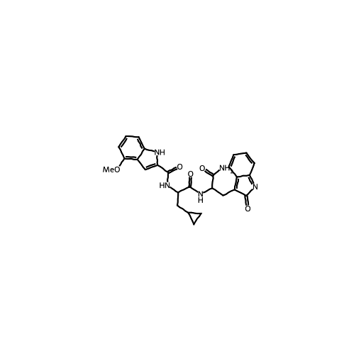 COc1cccc2[nH]c(C(=O)NC(CC3CC3)C(=O)NC(CC3=c4ccccc4=NC3=O)C(N)=O)cc12